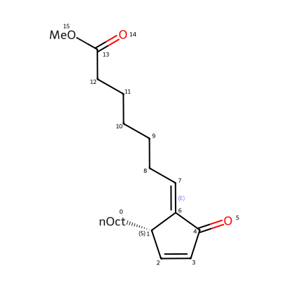 CCCCCCCC[C@H]1C=CC(=O)/C1=C/CCCCCC(=O)OC